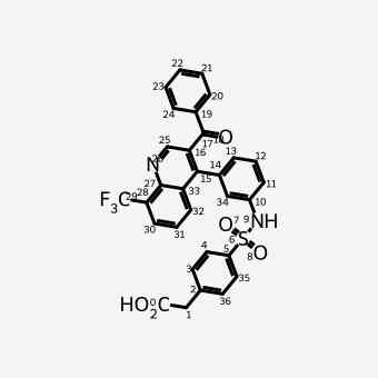 O=C(O)Cc1ccc(S(=O)(=O)Nc2cccc(-c3c(C(=O)c4ccccc4)cnc4c(C(F)(F)F)cccc34)c2)cc1